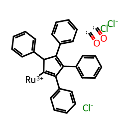 [C]=O.[C]=O.[Cl-].[Cl-].[Cl-].[Ru+3][C]1=C(c2ccccc2)C(c2ccccc2)=C(c2ccccc2)C1c1ccccc1